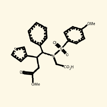 COC(=O)CC(c1ccsc1)C(c1ccccc1)N(CC(=O)O)S(=O)(=O)c1ccc(OC)cc1